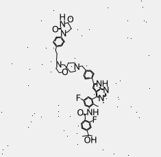 Cc1c(NC(=O)c2ccc(C(C)(C)O)cc2F)cc(F)cc1-c1ncnc2[nH]c(-c3ccc(CN4CCC5(CC4)CN(CCCc4ccc(N6CCC(=O)NC6=O)cc4)CCO5)cc3)cc12